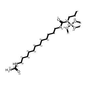 CCCN(C(=O)[N]CCCCCCCCCCCCNC(N)=O)[Si](OC)(OC)OC